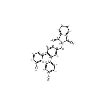 O=C1c2ccccc2C(=O)N1Cc1cnc(-c2cccc(Cl)c2)c(-c2ccc(Cl)cc2)c1